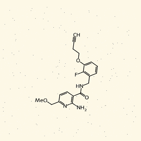 C#CCCOc1cccc(CNC(=O)c2ccc(COC)nc2N)c1F